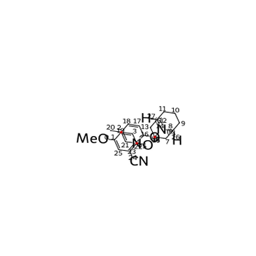 COc1ccc(O[C@H]2C[C@H]3CCC[C@@H](C2)N3Oc2ccc(C)cn2)c(C#N)c1